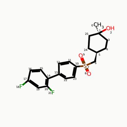 C[C@]1(O)CC[C@@H](CS(=O)(=O)c2ccc(-c3ccc(F)cc3F)cc2)CC1